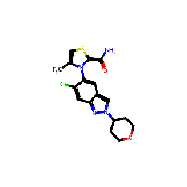 NC(=O)C1SC=C(C(F)(F)F)N1c1cc2cn(C3CCOCC3)nc2cc1Cl